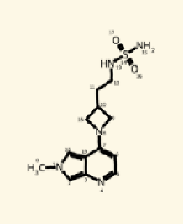 Cn1cc2nccc(N3CC(CCNS(N)(=O)=O)C3)c2c1